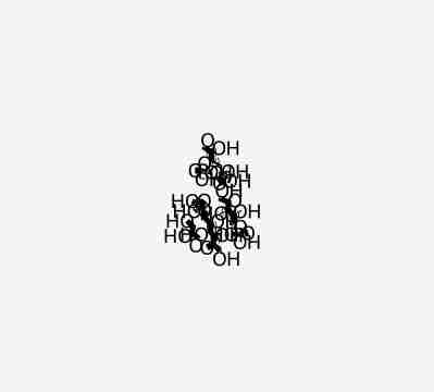 O=C(CO)[C@@H](O)[C@H](O)COP(=O)(O)O.O=C(CO)[C@@H](O)[C@H](O)[C@H](O)COP(=O)(O)O.O=CC(O)CO.O=C[C@H](O)[C@@H](COP(=O)(O)O)OP(=O)(O)O